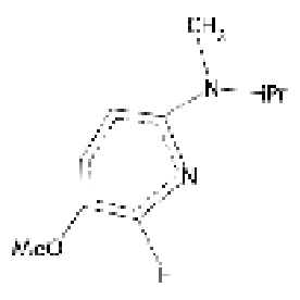 COc1ccc(N(C)C(C)C)nc1F